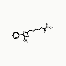 Cc1oc(CCCCCC(=O)NO)nc1-c1ccccc1